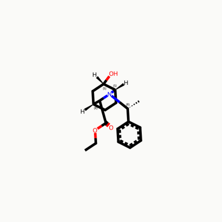 CCOC(=O)C1[C@@H]2CC[C@@H]([C@@H](O)C2)N1[C@H](C)c1ccccc1